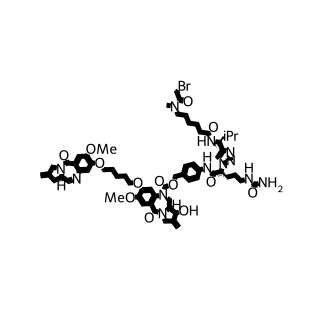 C=C1C[C@H]2C=Nc3cc(OCCCCCOc4cc5c(cc4OC)C(=O)N4CC(=C)C(O)[C@@H]4CN5C(=O)OCc4ccc(NC(=O)[C@H](CCCNC(N)=O)n5cc([C@@H](NC(=O)CCCCCN(C)C(=O)CBr)C(C)C)nn5)cc4)c(OC)cc3C(=O)N2C1